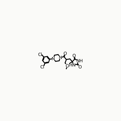 COCC(CC1(C)NC(=O)NC1=O)C(=O)N1CCN(c2cc(Cl)cc(Cl)c2)CC1